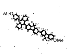 COc1ccc(-c2c3ccccc3c(-c3ccc4c(c3)C(C)(C)c3cc(-c5ccc6c(c5)C(C)(C)c5cc(OC)ccc5-6)ccc3-4)c3ccccc23)cc1